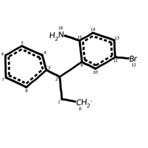 [CH2]CC(c1ccccc1)c1cc(Br)ccc1N